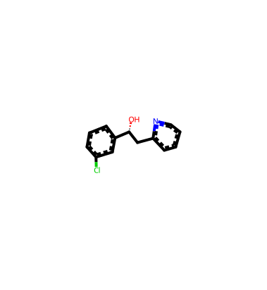 O[C@H](Cc1ccccn1)c1cccc(Cl)c1